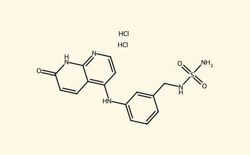 Cl.Cl.NS(=O)(=O)NCc1cccc(Nc2ccnc3[nH]c(=O)ccc23)c1